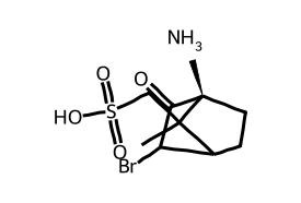 CC1(CS(=O)(=O)O)C2CC[C@@]1(C)C(=O)C2Br.N